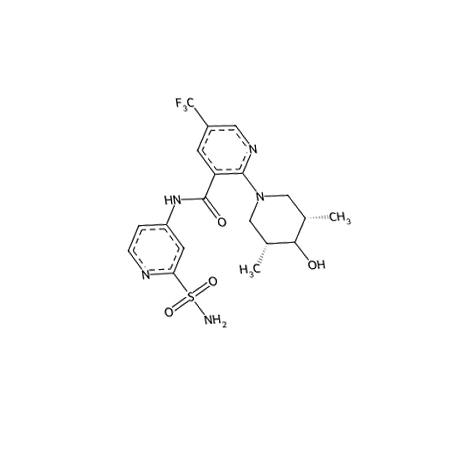 C[C@@H]1CN(c2ncc(C(F)(F)F)cc2C(=O)Nc2ccnc(S(N)(=O)=O)c2)C[C@H](C)C1O